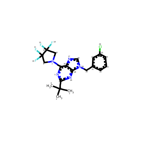 CC(C)(C)c1nc(N2CC(F)(F)C(F)(F)C2)c2ncn(Cc3cccc(Cl)c3)c2n1